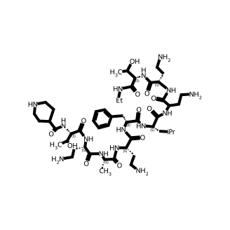 CCNC(=O)[C@@H](NC(=O)[C@H](CCN)NC(=O)C(CCN)NC(=O)[C@H](CC(C)C)NC(=O)[C@@H](Cc1ccccc1)NC(=O)[C@H](CCN)NC(=O)[C@H](C)NC(=O)[C@H](CCN)NC(=O)[C@@H](NC(=O)C1CCNCC1)C(C)O)C(C)O